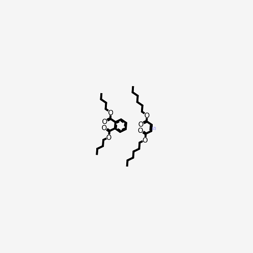 CCCCCCOC(=O)/C=C\C(=O)OCCCCCC.CCCCOC(=O)c1ccccc1C(=O)OCCCC